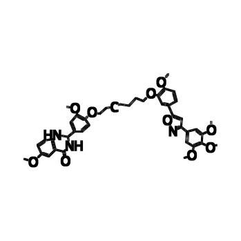 COc1ccc2c(c1)C(=O)NC(c1ccc(OCCCCCCCOc3cc(-c4cc(-c5cc(OC)c(OC)c(OC)c5)no4)ccc3OC)c(OC)c1)N2